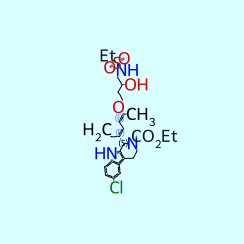 C=C/C(=C\C=C(/C)OCCC(O)CNS(=O)(=O)CC)[C@H]1c2[nH]c3ccc(Cl)cc3c2CCN1C(=O)OCC